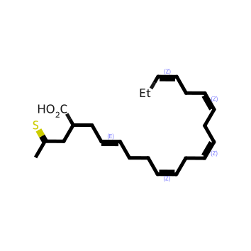 CC/C=C\C/C=C\C/C=C\C/C=C\CC/C=C/CC(CC(C)=S)C(=O)O